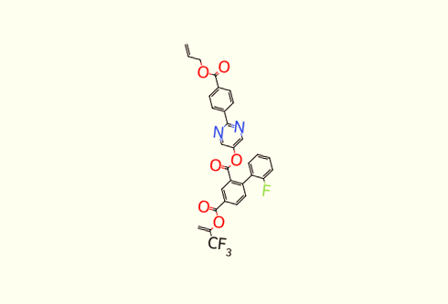 C=CCOC(=O)c1ccc(-c2ncc(OC(=O)c3cc(C(=O)OC(=C)C(F)(F)F)ccc3-c3ccccc3F)cn2)cc1